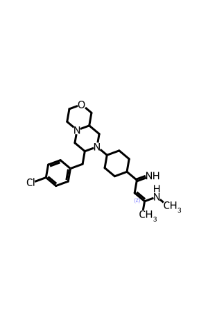 CN/C(C)=C\C(=N)C1CCC(N2CC3COCCN3CC2Cc2ccc(Cl)cc2)CC1